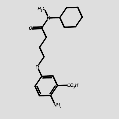 CN(C(=O)CCCOc1ccc(N)c(C(=O)O)c1)C1CCCCC1